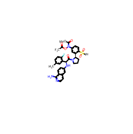 COC(=O)N(OC(=O)C(F)(F)F)c1ccc(S(=O)(=O)C(C)C)c([C@H]2CCCN2C(=O)[C@@H](Nc2ccc3c(N)nccc3c2)c2cc(C)ccc2F)c1